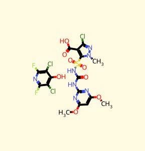 COc1cc(OC)nc(NC(=O)NS(=O)(=O)c2c(C(=O)O)c(Cl)nn2C)n1.Oc1c(Cl)c(F)nc(F)c1Cl